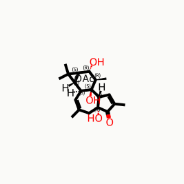 CC(=O)O[C@@]12[C@H](O)[C@@H](C)[C@@]3(O)[C@@H](C=C(C)C[C@]4(O)C(=O)C(C)=C[C@@H]34)[C@@H]1C2(C)C